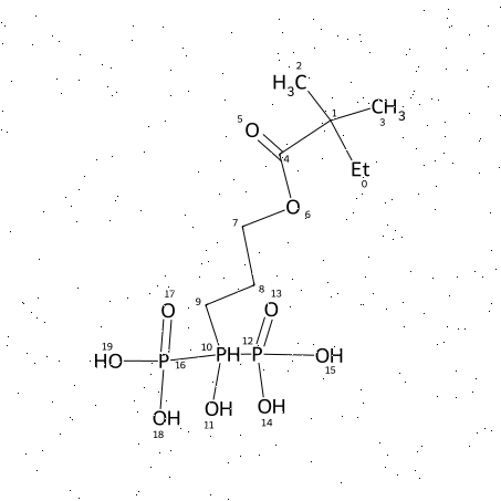 CCC(C)(C)C(=O)OCCC[PH](O)(P(=O)(O)O)P(=O)(O)O